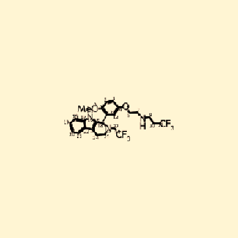 COc1ccc(OCCNCCC(F)(F)F)cc1[C@@H]1c2[nH]c3ccccc3c2CCN1CC(F)(F)F